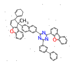 CC1(c2ccc3cc(-c4nc(-c5cccc(-c6ccccc6)c5)nc(-c5cccc6c5oc5ccccc56)n4)ccc3c2)c2c(oc3ccccc23)C=CC1C1=CCCC=C1